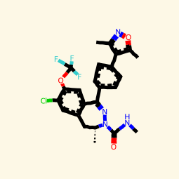 CNC(=O)N1N=C(c2ccc(-c3c(C)noc3C)cc2)c2cc(OC(F)(F)F)c(Cl)cc2C[C@H]1C